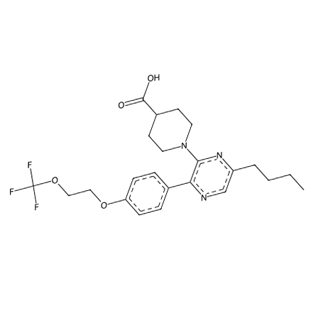 CCCCc1cnc(-c2ccc(OCCOC(F)(F)F)cc2)c(N2CCC(C(=O)O)CC2)n1